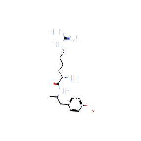 COc1ccc(CC(C)NC(=O)C(N)CCCCNC(=N)N)cc1